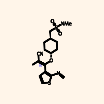 C=Nc1sccc1/C(O[C@H]1CC[C@H](CS(=O)(=O)NC)CC1)=C(\C)C#N